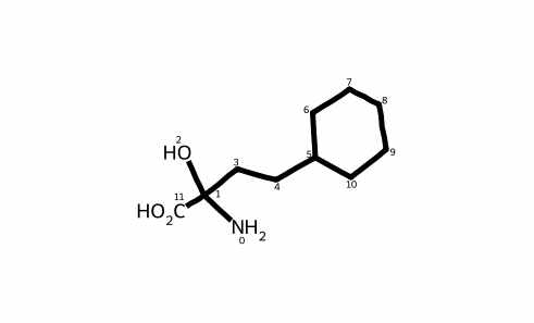 NC(O)(CCC1CCCCC1)C(=O)O